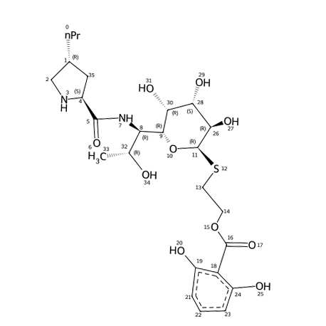 CCC[C@H]1CN[C@H](C(=O)N[C@@H]([C@H]2O[C@H](SCCOC(=O)c3c(O)cccc3O)[C@H](O)[C@@H](O)[C@H]2O)[C@@H](C)O)C1